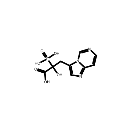 O=C(O)C(O)(Cc1cnc2ccncn12)P(=O)(O)O